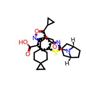 O=C(O)c1ccc2nc(N3[C@@H]4CC[C@H]3C[C@@H](OCc3c(C5CCC6(CC5)CC6)noc3C3CC3)C4)sc2c1